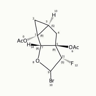 CC(=O)O[C@]12C[C@H]1C[C@@]1(OC(C)=O)[C@@H]2OC(Br)[C@H]1F